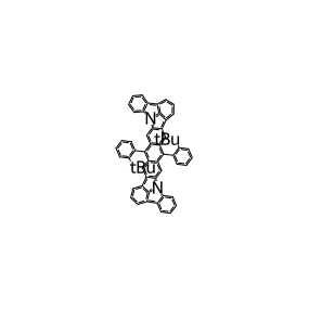 CC(C)(C)c1ccccc1-c1c2cc3c4cccc5c6ccccc6n(c3cc2c(-c2ccccc2C(C)(C)C)c2cc3c6cccc7c8ccccc8n(c3cc12)c76)c54